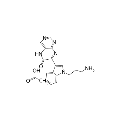 CC(=O)O.NCCCn1cc(-c2nc3ncncc3[nH]c2=O)c2ccccc21